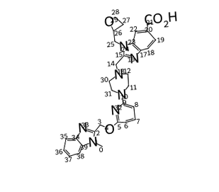 Cn1c(COc2cccc(N3CCN(Cc4nc5ccc(C(=O)O)cc5n4CC4CCO4)CC3)n2)nc2ccccc21